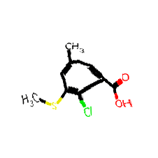 CSc1cc(C)cc(C(=O)O)c1Cl